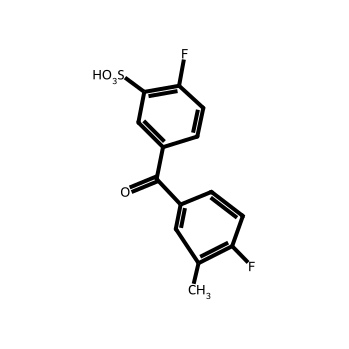 Cc1cc(C(=O)c2ccc(F)c(S(=O)(=O)O)c2)ccc1F